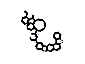 C=Cc1ccccc1C(=C)c1ccccccc(/C(C)=C/C(=C\C)c2ccc3sc4cc5ccc6oc7ccccc7c6c5cc4c3c2)c2ccccc12